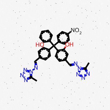 Cc1nnnn1N=Cc1ccc(C(c2ccccc2)(c2ccc([N+](=O)[O-])cc2)c2ccc(C=Nn3nnnc3C)cc2O)c(O)c1